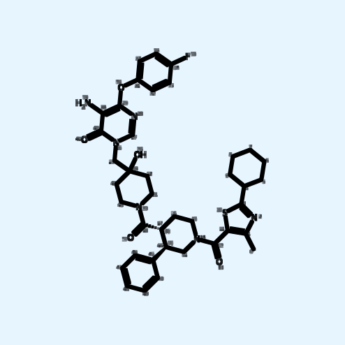 Cc1nc(C2CCCCC2)sc1C(=O)N1CC[C@@H](C(=O)N2CCC(O)(Cn3cnc(Oc4ccc(F)cc4)c(N)c3=O)CC2)[C@H](c2ccccc2)C1